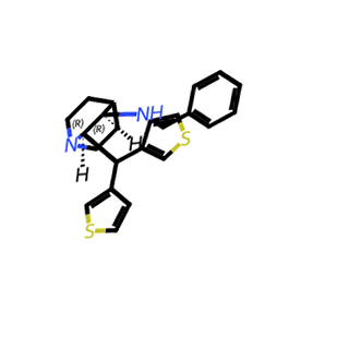 c1ccc(CN[C@@H]2C3CCN(CC3)[C@@H]2C(c2ccsc2)c2ccsc2)cc1